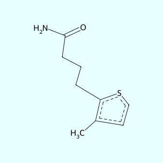 Cc1ccsc1CCCC(N)=O